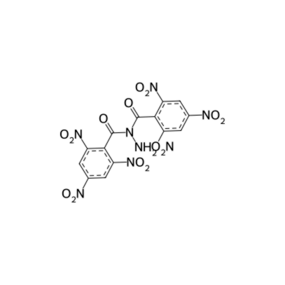 NN(C(=O)c1c([N+](=O)[O-])cc([N+](=O)[O-])cc1[N+](=O)[O-])C(=O)c1c([N+](=O)[O-])cc([N+](=O)[O-])cc1[N+](=O)[O-]